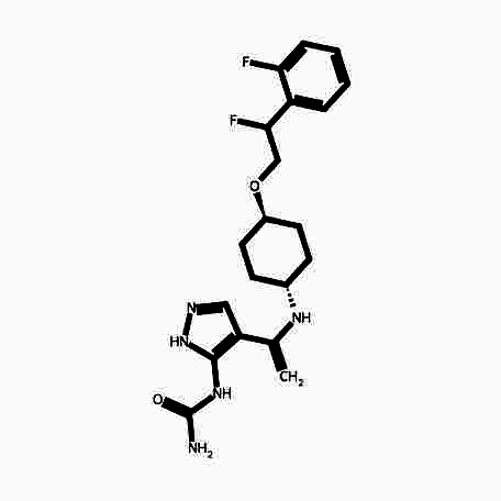 C=C(N[C@H]1CC[C@H](OCC(F)c2ccccc2F)CC1)c1cn[nH]c1NC(N)=O